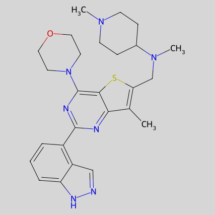 Cc1c(CN(C)C2CCN(C)CC2)sc2c(N3CCOCC3)nc(-c3cccc4[nH]ncc34)nc12